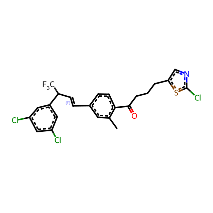 Cc1cc(/C=C/C(c2cc(Cl)cc(Cl)c2)C(F)(F)F)ccc1C(=O)CCCc1cnc(Cl)s1